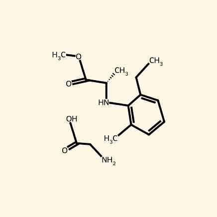 CCc1cccc(C)c1N[C@@H](C)C(=O)OC.NCC(=O)O